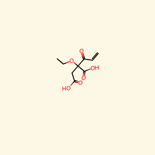 C=CC(=O)C(CC(=O)O)(OCC)C(=O)O